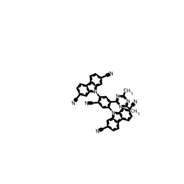 Cc1nc(C)nc(-c2cc(-n3c4cc(C#N)ccc4c4ccc(C#N)cc43)c(C#N)cc2-n2c3cc(C#N)ccc3c3ccc(C#N)cc32)n1